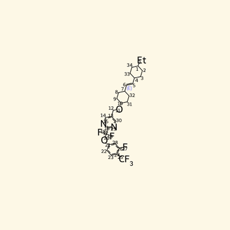 CCC1CCC(/C=C/C2CCC(OCc3cnc(C(F)(F)Oc4ccc(C(F)(F)F)c(F)c4)nc3)CC2)CC1